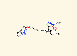 CC(C=CCCCCCCCOc1ccc2ccccc2n1)=C(F)C(=O)NCC(C)C